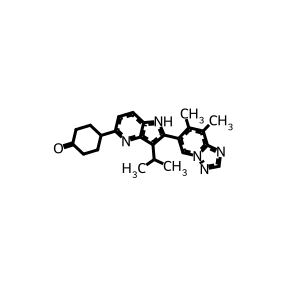 Cc1c(-c2[nH]c3ccc(C4CCC(=O)CC4)nc3c2C(C)C)cn2ncnc2c1C